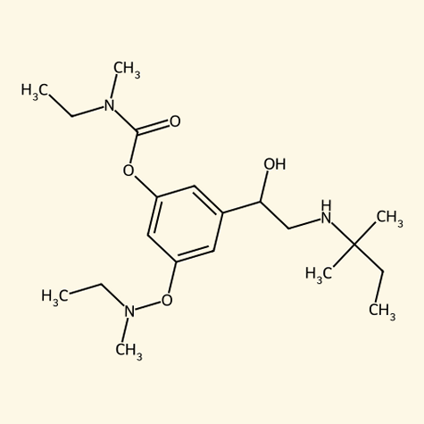 CCN(C)Oc1cc(OC(=O)N(C)CC)cc(C(O)CNC(C)(C)CC)c1